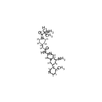 Cc1ccncc1-c1cc(N)c2cnc(NC(=O)C=C3CCN(C(=O)C(C)(C)N)CC3)cc2c1